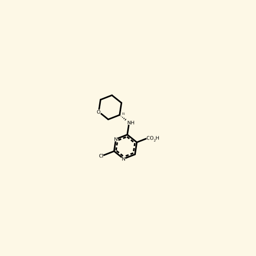 O=C(O)c1cnc(Cl)nc1N[C@H]1CCCOC1